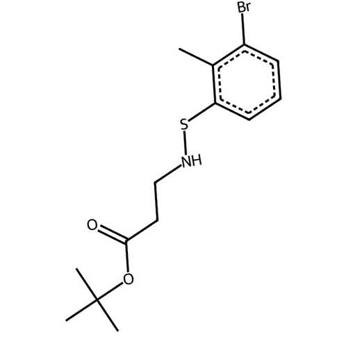 Cc1c(Br)cccc1SNCCC(=O)OC(C)(C)C